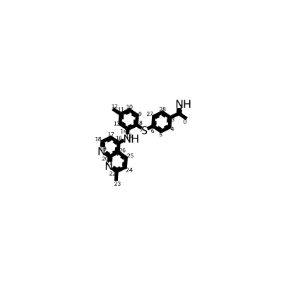 CC(=N)c1ccc(Sc2ccc(C)cc2Nc2ccnc3nc(C)ccc23)cc1